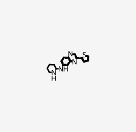 c1csc(-c2cnc3ccc(NC4CCCCN4)cc3n2)c1